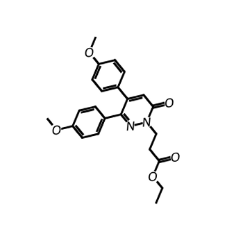 CCOC(=O)CCn1nc(-c2ccc(OC)cc2)c(-c2ccc(OC)cc2)cc1=O